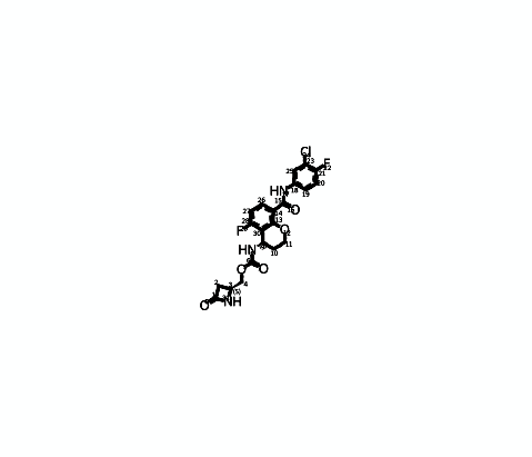 O=C1C[C@@H](COC(=O)N[C@H]2CCOc3c(C(=O)Nc4ccc(F)c(Cl)c4)ccc(F)c32)N1